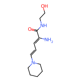 N/C(=C\C=C\N1CCCCC1)C(=O)NCCO